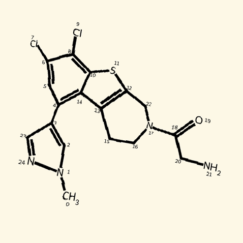 Cn1cc(-c2cc(Cl)c(Cl)c3sc4c(c23)CCN(C(=O)CN)C4)cn1